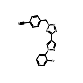 N#Cc1ccc(Cn2nnc(-c3cnn(-c4ccccc4Br)c3)n2)cc1